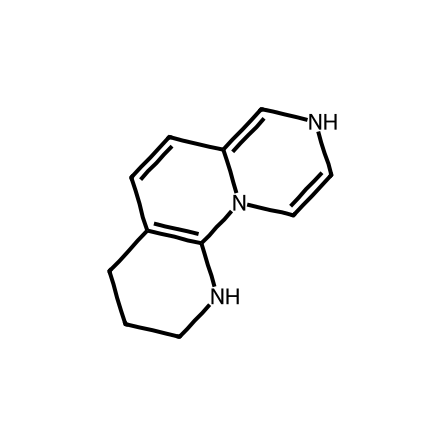 C1=CN2C(=CN1)C=CC1=C2NCCC1